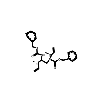 C=C[C@H](C)C(CN(C(=O)OCc1ccccc1)[C@@H](C)C=C)NC(=O)OCc1ccccc1